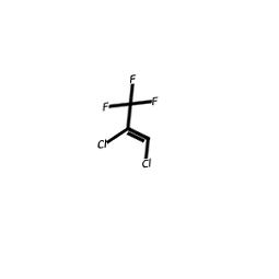 FC(F)(F)C(Cl)=CCl